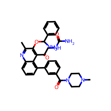 Cc1nc2cccc(-c3cccc(C(=O)N4CCN(C)CC4)c3)c2c(C(=O)CNC(N)=O)c1OC(N)c1ccccc1